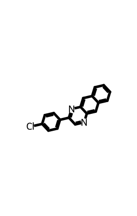 Clc1ccc(-c2cnc3cc4ccccc4cc3n2)cc1